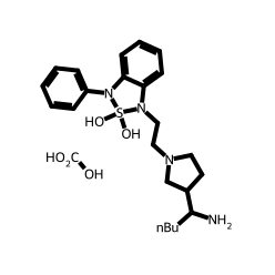 CCCCC(N)C1CCN(CCN2c3ccccc3N(c3ccccc3)S2(O)O)C1.O=C(O)O